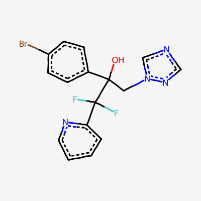 OC(Cn1cncn1)(c1ccc(Br)cc1)C(F)(F)c1ccccn1